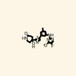 COc1nc(Nc2cc(C)cc(-c3cnc(C4(O)CCNC(=O)CC4)s3)c2)ncc1F